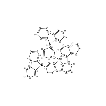 c1cc(-n2c3ccccc3c3ccccc32)cc(C2(c3cccc(-n4c5ccccc5c5ccccc54)c3)c3ccccc3-c3c2ccc2ccccc32)c1